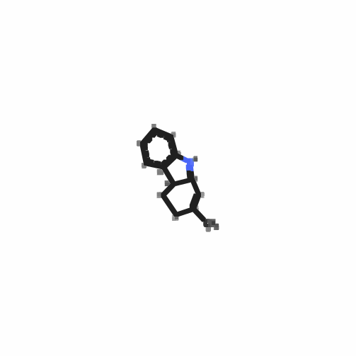 CC1=CC2=Nc3ccccc3C2CC1